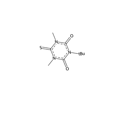 Cn1c(=S)n(C)c(=O)n(C(C)(C)C)c1=O